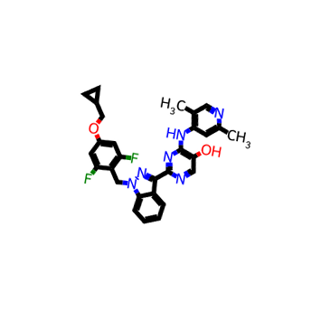 Cc1cc(Nc2nc(-c3nn(Cc4c(F)cc(OCC5CC5)cc4F)c4ccccc34)ncc2O)c(C)cn1